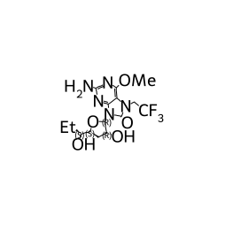 CC[C@H](O)[C@@H]1C[C@@H](O)[C@H](n2c(=O)n(CC(F)(F)F)c3c(OC)nc(N)nc32)O1